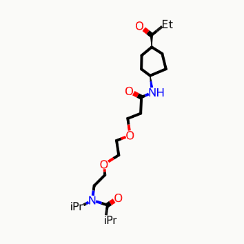 CCC(=O)[C@H]1CC[C@@H](NC(=O)CCOCCOCCN(C(=O)C(C)C)C(C)C)CC1